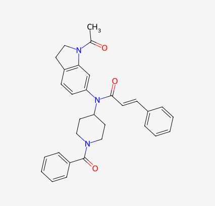 CC(=O)N1CCc2ccc(N(C(=O)C=Cc3ccccc3)C3CCN(C(=O)c4ccccc4)CC3)cc21